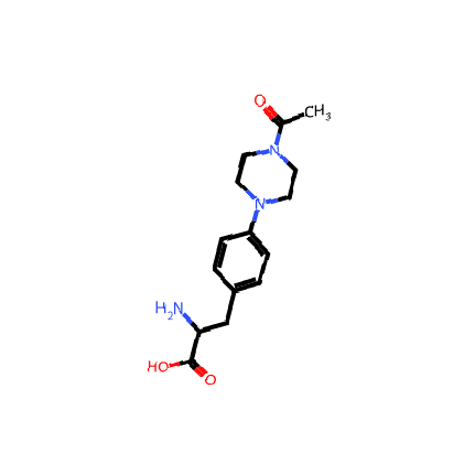 CC(=O)N1CCN(c2ccc(CC(N)C(=O)O)cc2)CC1